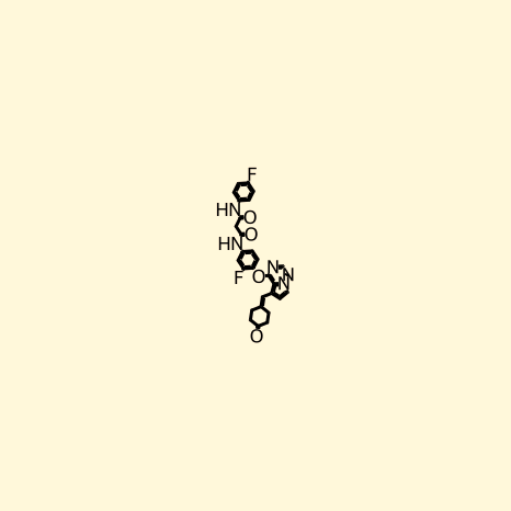 O=C1CCC(=Cc2ccn3ncnc(Oc4ccc(NC(=O)CC(=O)Nc5ccc(F)cc5)cc4F)c23)CC1